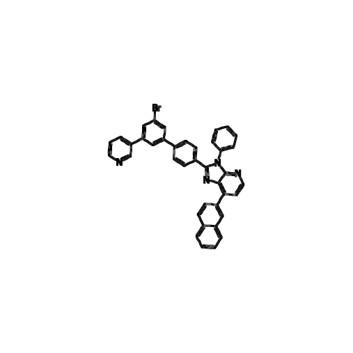 Brc1cc(-c2ccc(-c3nc4c(-c5ccc6ccccc6c5)ccnc4n3-c3ccccc3)cc2)cc(-c2cccnc2)c1